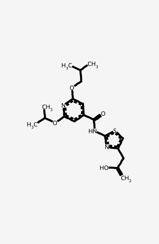 C=C(O)Cc1csc(NC(=O)c2cc(OCC(C)C)nc(OC(C)C)c2)n1